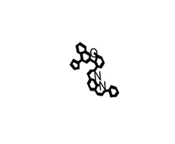 C1=CCC(c2cc3c(oc4cccc(-c5ccc6ccc7ccc(-c8ccccc8)nc7c6n5)c43)c3ccccc23)=C1